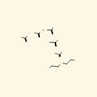 CC(=O)O.CC(=O)O.CC(=O)O.CC(=O)O.CC(=O)O.NCCNCCN.[Cd]